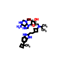 CC(C)N(C[C@H]1O[C@@H](N2CNC3C(N)NCN(C)C32)[C@H](O)[C@@H]1O)C1CC(CCC2Nc3ccc(C4(C)CCC4)cc3N2)C1